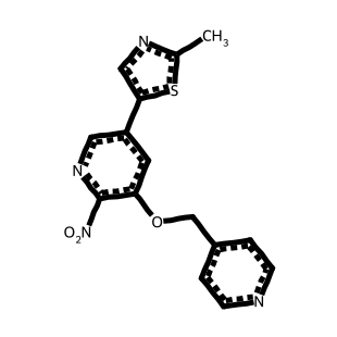 Cc1ncc(-c2cnc([N+](=O)[O-])c(OCc3ccncc3)c2)s1